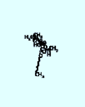 CCCCCCCCOC[C@H](COP(=O)(O)OCC[N+](C)(C)C)OC(=O)NC